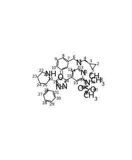 C[C@H]1C[C@@H]1CN(Cc1ccccc1)c1cc(-c2nnc([C@H]3NCCC[C@H]3c3ccccc3)o2)cc(N(C)S(C)(=O)=O)n1